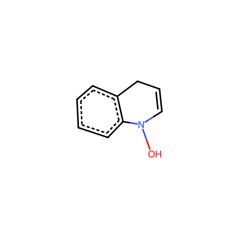 ON1C=CCc2ccccc21